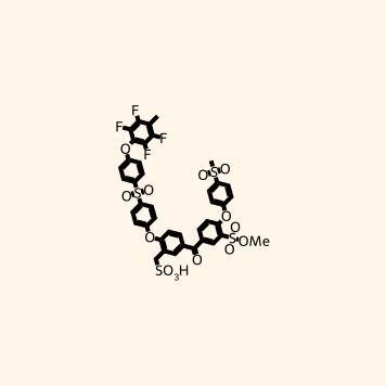 COS(=O)(=O)c1cc(C(=O)c2ccc(Oc3ccc(S(=O)(=O)c4ccc(Oc5c(F)c(F)c(C)c(F)c5F)cc4)cc3)c(CS(=O)(=O)O)c2)ccc1Oc1ccc(S(C)(=O)=O)cc1